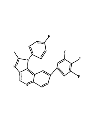 Cc1nc2cnc3ccc(-c4cc(F)c(F)c(F)c4)cc3c2n1-c1ccc(F)cc1